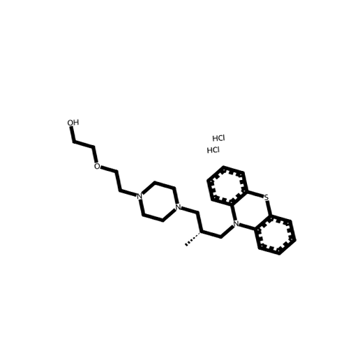 C[C@H](CN1CCN(CCOCCO)CC1)CN1c2ccccc2Sc2ccccc21.Cl.Cl